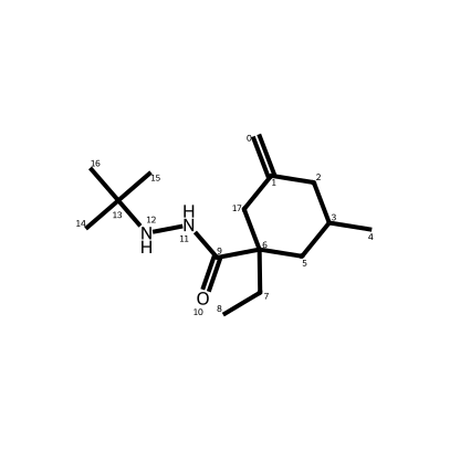 C=C1CC(C)CC(CC)(C(=O)NNC(C)(C)C)C1